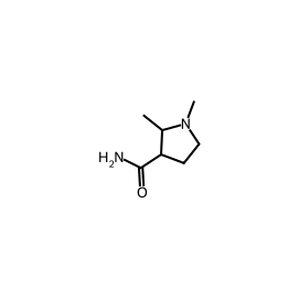 CC1C(C(N)=O)CCN1C